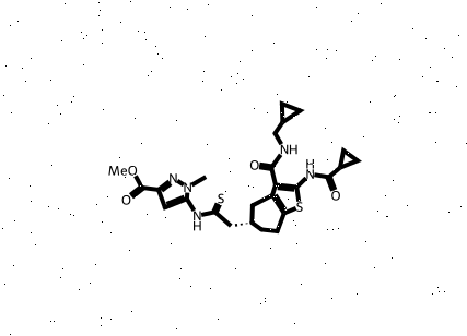 COC(=O)c1cc(NC(=S)C[C@H]2CCc3sc(NC(=O)C4CC4)c(C(=O)NCC4CC4)c3C2)n(C)n1